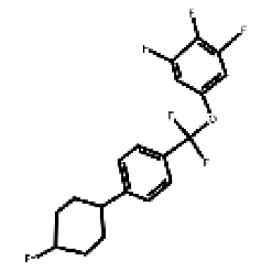 CCC1CCC(c2ccc(C(F)(F)Oc3cc(F)c(F)c(F)c3)cc2)CC1